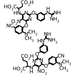 CN(C)c1cc(Oc2nc(Oc3cccc(NC(=N)N)c3)nc(NC(CCC(=O)O)C(=O)O)c2[N+](=O)[O-])ccc1C#N.CN(C)c1ccc(C#N)cc1Oc1nc(Oc2cccc(NC(=N)N)c2)nc(NC(CC(=O)O)C(=O)O)c1[N+](=O)[O-]